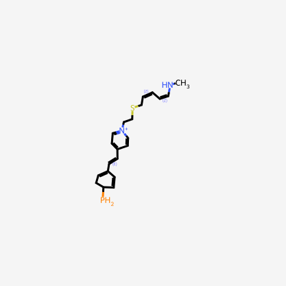 CN/C=C\C=C/CSCC[n+]1ccc(/C=C/C2=CCC(P)C=C2)cc1